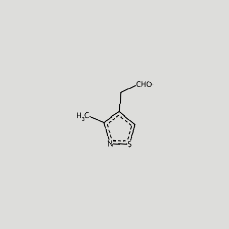 Cc1nscc1C[C]=O